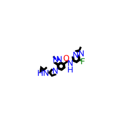 Cc1cn2cc(NC(=O)c3ccc(N4CC[C@@H](NC5(C)CC5)C4)c4cn(C)nc34)cc(F)c2n1